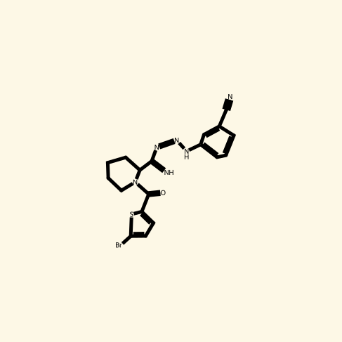 N#Cc1cccc(N/N=N\C(=N)C2CCCCN2C(=O)c2ccc(Br)s2)c1